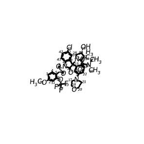 COc1ccc(S(=O)(=O)N2C(=O)C(c3cc(N4CCOCC4)ccc3OC)(N3C[C@H](O)C[C@H]3C(=O)N(C)C)c3cc(Cl)ccc32)c(OC(F)(F)F)c1